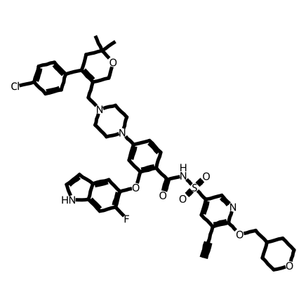 C#Cc1cc(S(=O)(=O)NC(=O)c2ccc(N3CCN(CC4=C(c5ccc(Cl)cc5)CC(C)(C)OC4)CC3)cc2Oc2cc3cc[nH]c3cc2F)cnc1OCC1CCOCC1